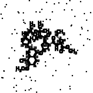 C=C[C@@H]1C[C@]1(NC(=O)[C@@H]1C[C@@H](Oc2cc(-c3csc(NC(C)C)n3)nc3c(Cl)c(OC)ccc23)CN1C(=O)[C@@H](N)C(C)(C)C)C(=O)OC